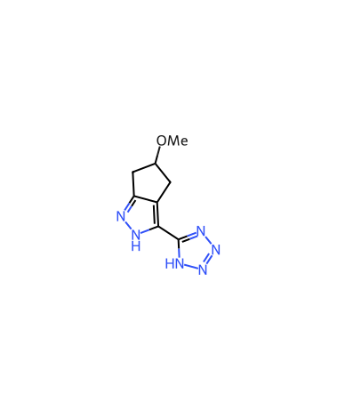 COC1Cc2n[nH]c(-c3nnn[nH]3)c2C1